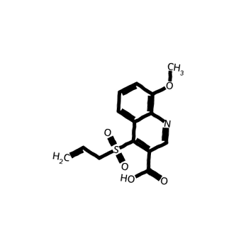 C=CCS(=O)(=O)c1c(C(=O)O)cnc2c(OC)cccc12